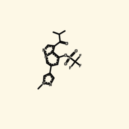 CC(C)C(=O)c1cnn2cc(-c3cnn(C)c3)cc(OS(=O)(=O)C(F)(F)F)c12